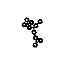 C1=CC(C2=CC=C(N(c3ccc(-c4ccccc4)cc3)c3ccc4c(c3)C(c3ccccc3)(c3ccccc3)c3ccccc3-4)CC2)Cc2c1n(-c1ccccc1)c1ccccc21